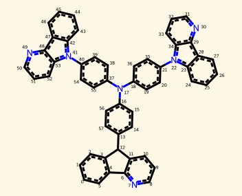 c1ccc2c(c1)-c1ncccc1C2c1ccc(N(c2ccc(-n3c4ccccc4c4ncccc43)cc2)c2ccc(-n3c4ccccc4c4ncccc43)cc2)cc1